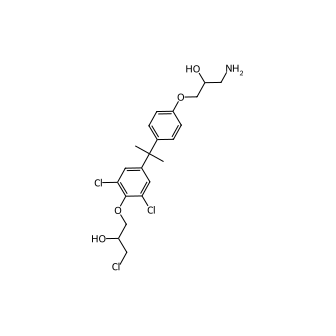 CC(C)(c1ccc(OCC(O)CN)cc1)c1cc(Cl)c(OCC(O)CCl)c(Cl)c1